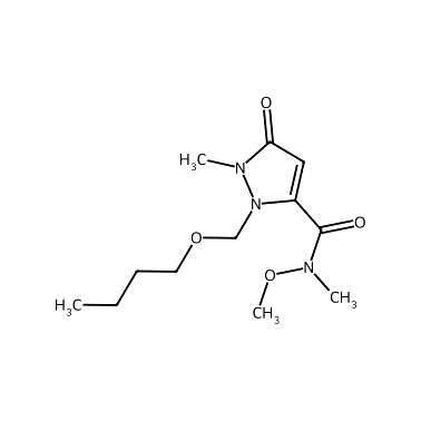 CCCCOCn1c(C(=O)N(C)OC)cc(=O)n1C